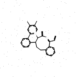 C=C/C1=N/C(=C)C2C(CCc3ccccc31)c1ccccc1-c1cc(C)c(C)c[n+]12